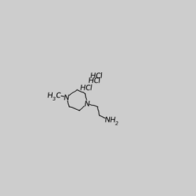 CN1CCN(CCN)CC1.Cl.Cl.Cl